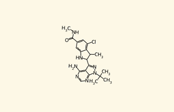 CNC(=O)c1cc(Cl)c2c(c1)NC(c1nn(C(C)(C)C)c3ncnc(N)c13)C2C